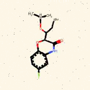 C[SiH](C)OC(CC(C)(C)C)C1Oc2ccc(F)cc2NC1=O